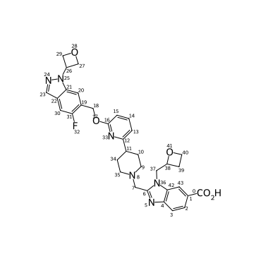 O=C(O)c1ccc2nc(CN3CCC(c4cccc(OCc5cc6c(cnn6C6COC6)cc5F)n4)CC3)n(CC3CCO3)c2c1